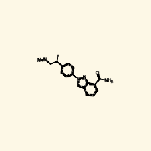 CNCC(C)c1ccc(-n2cc3cccc(C(N)=O)c3n2)cc1